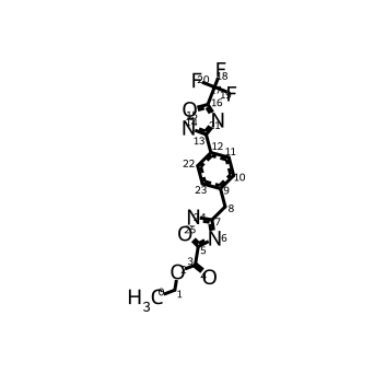 CCOC(=O)c1nc(Cc2ccc(-c3noc(C(F)(F)F)n3)cc2)no1